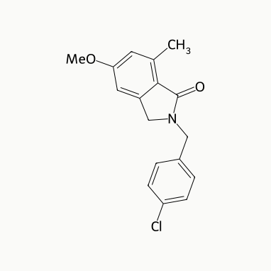 COc1cc(C)c2c(c1)CN(Cc1ccc(Cl)cc1)C2=O